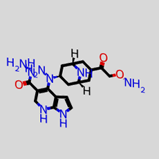 NNC(=O)C1=C(N(N)[C@@H]2C[C@H]3CC(C(=O)CON)C[C@@H](C2)N3)c2cc[nH]c2NC1